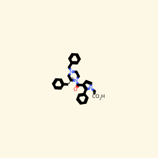 O=C(O)Cn1ccc(C(=O)N2CCN(Cc3ccccc3)C[C@H]2Cc2ccccc2)c1-c1ccccc1